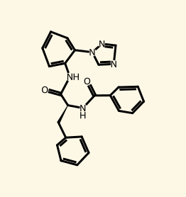 O=C(N[C@@H](Cc1ccccc1)C(=O)Nc1ccccc1-n1cncn1)c1ccccc1